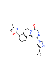 Cc1coc(-c2cccc3c2CCN2C(=O)CN=C(n4cnc(C5CC5)c4)C=C32)n1